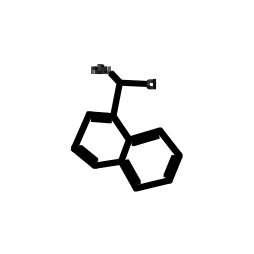 CCCCC(Cl)c1cccc2ccccc12